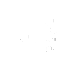 CSCC1(O)CC2CC(c3nc4n(c3C(=O)Nc3ccc(F)c(Cl)c3)CCC4)CC2C1